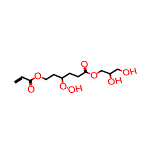 C=CC(=O)OCCC(CCC(=O)OCC(O)CO)OO